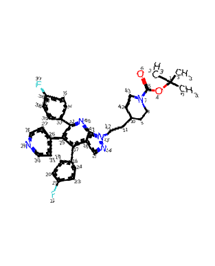 CC(C)(C)OC(=O)N1CCC(CCn2ncc3c(-c4ccc(F)cc4)c(-c4ccncc4)c(-c4ccc(F)cc4)nc32)CC1